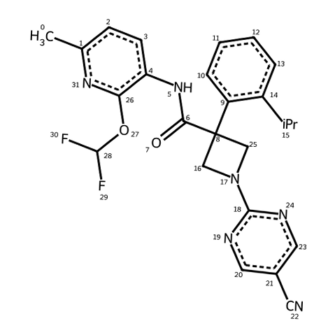 Cc1ccc(NC(=O)C2(c3ccccc3C(C)C)CN(c3ncc(C#N)cn3)C2)c(OC(F)F)n1